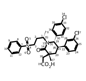 C[C@@H](CCS(=O)(=O)c1ccccc1)N1C(=O)[C@@](C)(CC(=O)O)C[C@H](c2cccc(Cl)c2)[C@H]1c1ccc(Cl)cc1